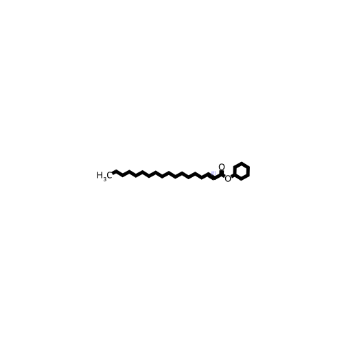 CCCCCCCCCCCCCCC/C=C/C(=O)OC1CCCCC1